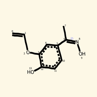 C=COc1cc(/C(C)=N\O)ccc1O